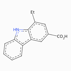 CCc1cc(C(=O)O)cc2c1[nH]c1ccccc12